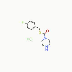 Cl.O=C(SCc1ccc(F)cc1)N1CCNCC1